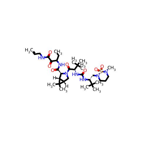 C=CCNC(=O)C(=O)C(CC)NC(=O)[C@@H]1[C@@H]2[C@H](CN1C(=O)[C@@H](NC(=O)N[C@H](CN1CCCN(C)S1(=O)=O)C(C)(C)C)C(C)(C)C)C2(C)C